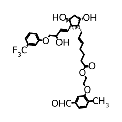 Cc1ccc(C=O)cc1OCCOC(=O)CCCC=CC[C@@H]1[C@@H](C=CC(O)COc2cccc(C(F)(F)F)c2)[C@H](O)C[C@@H]1O